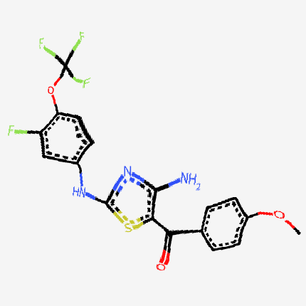 COc1ccc(C(=O)c2sc(Nc3ccc(OC(F)(F)F)c(F)c3)nc2N)cc1